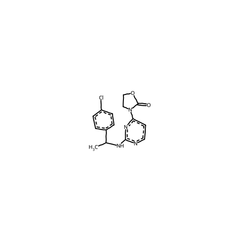 CC(Nc1nccc(N2CCOC2=O)n1)c1ccc(Cl)cc1